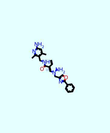 C=C/C(=C\N(N)Cc1coc(-c2ccccc2)n1)C(=O)NCc1c(C)cc(N)nc1C